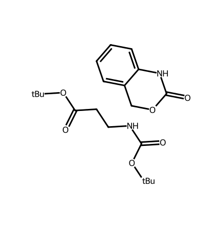 CC(C)(C)OC(=O)CCNC(=O)OC(C)(C)C.O=C1Nc2ccccc2CO1